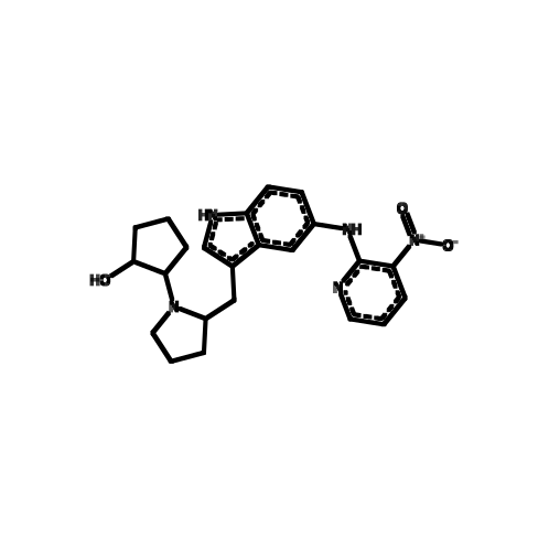 O=[N+]([O-])c1cccnc1Nc1ccc2[nH]cc(CC3CCCN3C3CCCC3O)c2c1